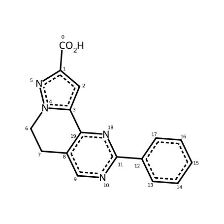 O=C(O)c1cc2n(n1)CCc1cnc(-c3ccccc3)nc1-2